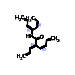 C=C/C=C\C(=C/C=C)C(=O)NC(/C=C\C)=C/C=C